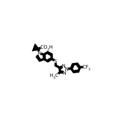 Cc1nn(-c2ccc(C(F)(F)F)cc2)nc1CSc1ccc2c(ccn2C2(C(=O)O)CC2)c1